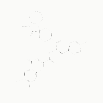 Cc1cc2oc(C(=O)N[C@H](Cc3ccc(Cl)cc3)C(=O)N3CCC(C(=O)NC(C)(C)C)(C4CCCCC4)CC3)cc(=O)c2cc1O